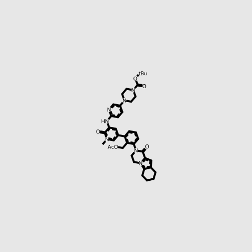 CC(=O)OCc1c(-c2cc(Nc3ccc(N4CCN(C(=O)OC(C)(C)C)CC4)cn3)c(=O)n(C)c2)cccc1N1CCn2c(cc3c2CCCC3)C1=O